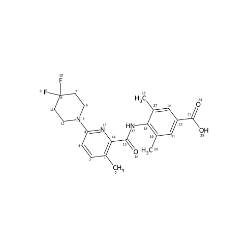 Cc1ccc(N2CCC(F)(F)CC2)nc1C(=O)Nc1c(C)cc(C(=O)O)cc1C